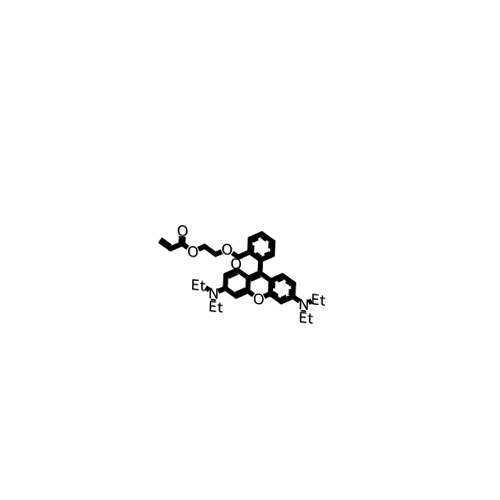 C=CC(=O)OCCOC(=O)c1ccccc1C1=C2C=CC(N(CC)CC)C=C2Oc2cc(N(CC)CC)ccc21